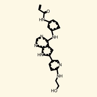 C=CC(=O)Nc1cccc(Nc2ncnc3[nH]c(-c4ccc(NCCO)nc4)cc23)c1